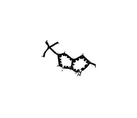 Cc1cc2cc(C(C)(C)C)cnc2[nH]1